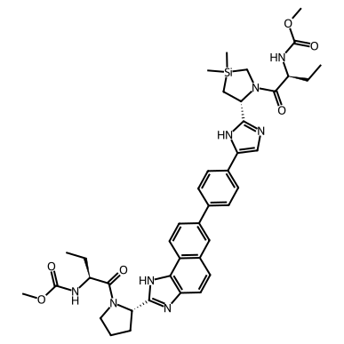 CC[C@H](NC(=O)OC)C(=O)N1C[Si](C)(C)C[C@H]1c1ncc(-c2ccc(-c3ccc4c(ccc5nc([C@@H]6CCCN6C(=O)[C@H](CC)NC(=O)OC)[nH]c54)c3)cc2)[nH]1